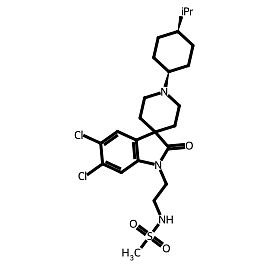 CC(C)[C@H]1CC[C@@H](N2CCC3(CC2)C(=O)N(CCNS(C)(=O)=O)c2cc(Cl)c(Cl)cc23)CC1